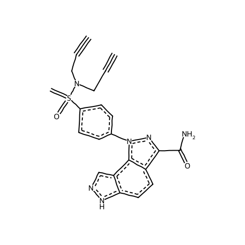 C#CCN(CC#C)S(=C)(=O)c1ccc(-n2nc(C(N)=O)c3ccc4[nH]ncc4c32)cc1